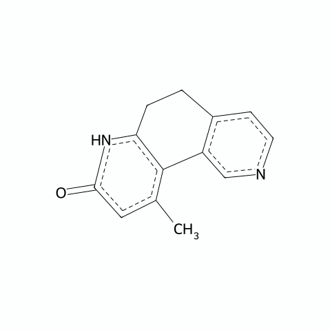 Cc1cc(=O)[nH]c2c1-c1cnccc1CC2